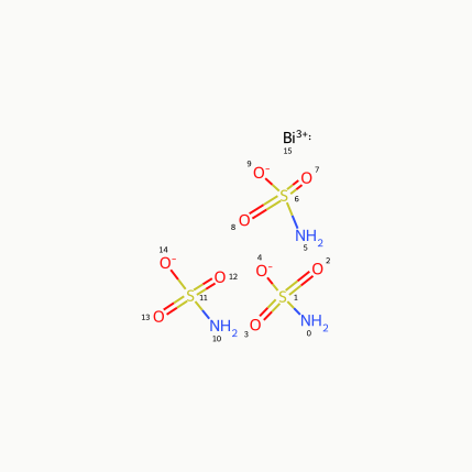 NS(=O)(=O)[O-].NS(=O)(=O)[O-].NS(=O)(=O)[O-].[Bi+3]